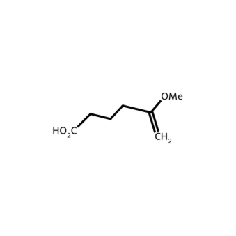 C=C(CCCC(=O)O)OC